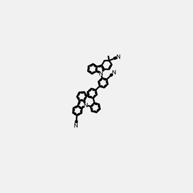 CC1(C#N)C=Cc2c(c3ccccc3n2-c2cc(-c3cccc(-c4ccccc4-n4c5ccccc5c5ccc(C#N)cc54)c3)ccc2C#N)C1